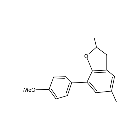 COc1ccc(-c2cc(C)cc3c2OC(C)C3)cc1